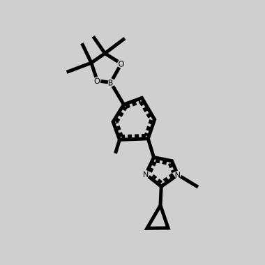 Cc1cc(B2OC(C)(C)C(C)(C)O2)ccc1-c1cn(C)c(C2CC2)n1